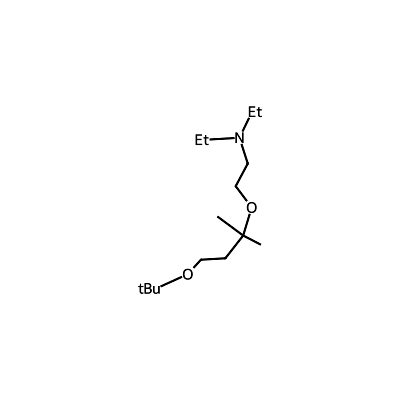 CCN(CC)CCOC(C)(C)CCOC(C)(C)C